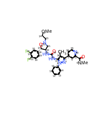 CNC(=O)c1cc(-c2nn(-c3ccccc3)c(NC(=O)N[C@@H]3CN(CCOC)O[C@H]3c3ccc(F)c(F)c3)c2C)ccn1